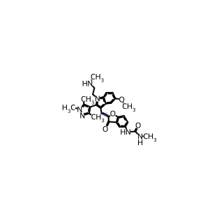 CNCCn1c(-c2c(C)nn(C)c2C)c(/C=C2\Oc3ccc(NC(=O)NC)cc3C2=O)c2cc(OC)ccc21